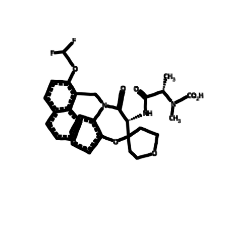 C[C@@H](C(=O)N[C@H]1C(=O)N(Cc2c(OC(F)F)ccc3ccccc23)c2ccccc2OC12CCOCC2)N(C)C(=O)O